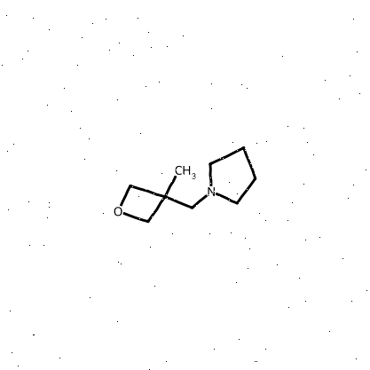 CC1(CN2CCCC2)COC1